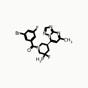 Cc1cc([C@@H]2CN(C(=O)c3cc(F)cc(Br)c3)CC(F)(P)C2)n2ncnc2n1